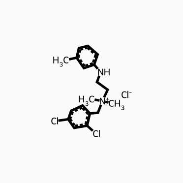 Cc1cccc(NCC[N+](C)(C)Cc2ccc(Cl)cc2Cl)c1.[Cl-]